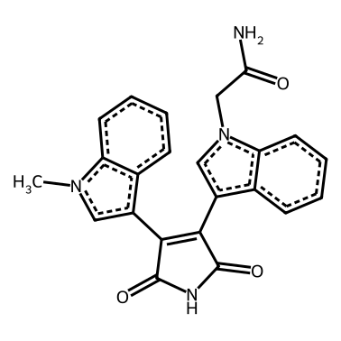 Cn1cc(C2=C(c3cn(CC(N)=O)c4ccccc34)C(=O)NC2=O)c2ccccc21